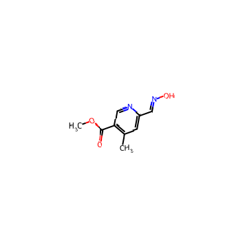 COC(=O)c1cnc(/C=N/O)cc1C